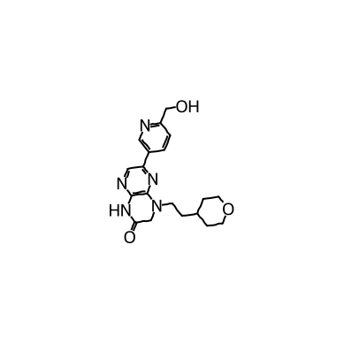 O=C1CN(CCC2CCOCC2)c2nc(-c3ccc(CO)nc3)cnc2N1